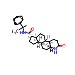 CC(NC(=O)[C@H]1CC[C@H]2[C@@H]3CC[C@H]4NC(=O)CC[C@]4(C)[C@H]3CC[C@]12C)(c1ccccc1)C(F)(F)F